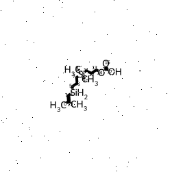 CC(C)=C[SiH2]CCC[Si](C)(C)CCCOC(=O)O